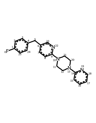 Fc1ccc([CH]c2ccc(N3CCN(c4ccccn4)CC3)nc2)cc1